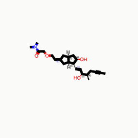 CC#CC[C@@H](C)[C@H](O)/C=C/[C@@H]1[C@H]2C/C(=C/COCC(=O)N(C)C)C[C@H]2C[C@H]1O